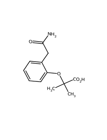 CC(C)(Oc1ccccc1CC(N)=O)C(=O)O